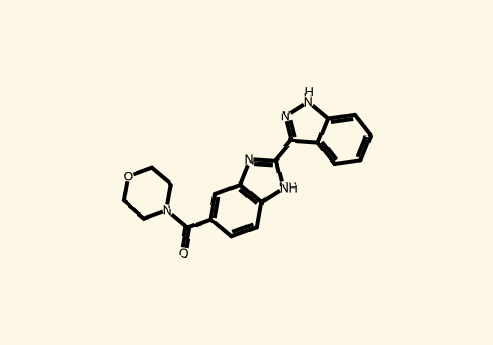 O=C(c1ccc2[nH]c(-c3n[nH]c4ccccc34)nc2c1)N1CCOCC1